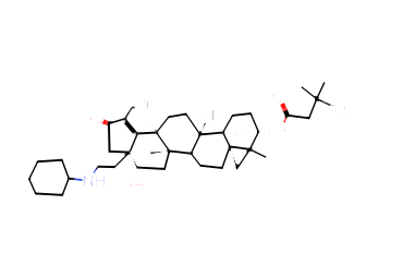 CC(C)C1=C2[C@H]3CC[C@@H]4[C@@]5(C)CC[C@H](OC(=O)CC(C)(C)C(=O)O)C6(C)C[C@]65CC[C@@]4(C)[C@]3(C)CC[C@@]2([C@H](O)CNC2CCCCC2)CC1=O